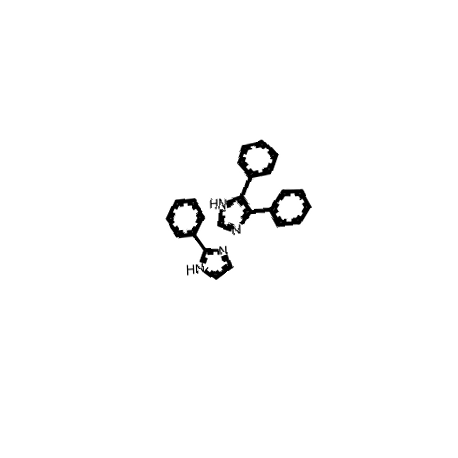 c1ccc(-c2nc[nH]c2-c2ccccc2)cc1.c1ccc(-c2ncc[nH]2)cc1